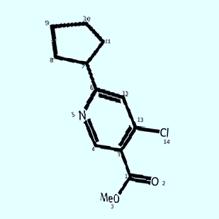 COC(=O)c1cnc(C2CCCC2)cc1Cl